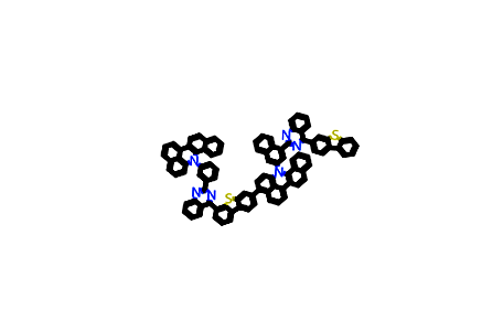 c1cc(-c2nc(-c3cccc4c3sc3cc(-c5ccc6c7c(cccc57)-c5ccc7ccccc7c5N6c5cc(-c6nc(-c7ccc8c(c7)sc7ccccc78)c7ccccc7n6)c6ccccc6c5)ccc34)c3ccccc3n2)cc(N2c3c(ccc4ccccc34)-c3cccc4cccc2c34)c1